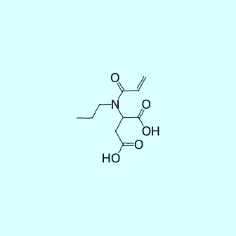 C=CC(=O)N(CCC)C(CC(=O)O)C(=O)O